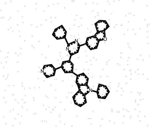 c1ccc(-c2nc(-c3cc(-c4ccncc4)cc(-c4ccc5c(c4)c4ccccc4n5-c4ccccc4)c3)cc(-c3ccc4oc5ccccc5c4c3)n2)cc1